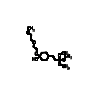 COCCOCCOC1(O)CCC(CC[Si](OC)(OC)OC)CC1